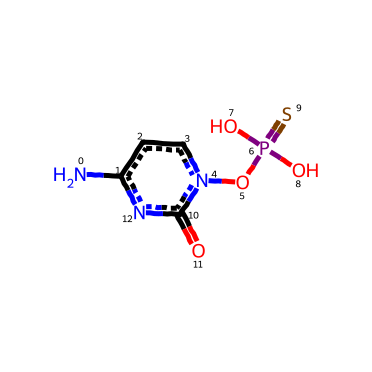 Nc1ccn(OP(O)(O)=S)c(=O)n1